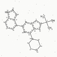 CC(C)(O)c1cc2nc(-c3cccc4[nH]ncc34)nc(N3CCOCC3)c2s1